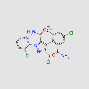 Cc1cc(Cl)cc(C(N)=O)c1-c1c(CCl)nn(-c2ncccc2Cl)c1C(N)=O